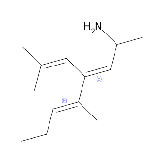 CC/C=C(C)/C(C=C(C)C)=C/C(C)N